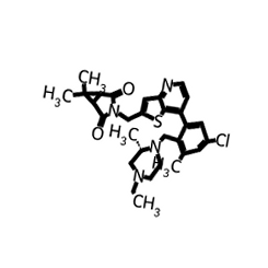 CCN1CCN(Cc2c(C)cc(Cl)cc2-c2ccnc3cc(CN4C(=O)C5C(C4=O)C5(C)C)sc23)[C@@H](C)C1